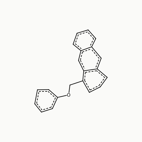 c1ccc(OCc2cccc3cc4ccccc4cc23)cc1